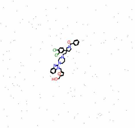 O=C(c1ccccc1)N1CCC(CCN2CCCN(c3nc4ccccc4n3Cc3ccc(CO)o3)CC2)(c2ccc(Cl)c(Cl)c2)C1